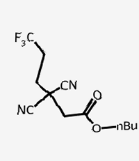 CCCCOC(=O)CC(C#N)(C#N)CCC(F)(F)F